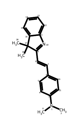 CN(C)c1ccc(/C=C/C2=Nc3ccccc3C2(C)C)cc1